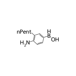 CCCCCc1cc(BO)ccc1N